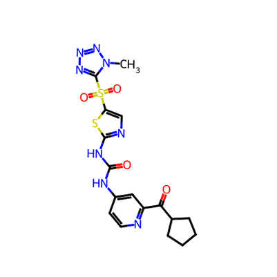 Cn1nnnc1S(=O)(=O)c1cnc(NC(=O)Nc2ccnc(C(=O)C3CCCC3)c2)s1